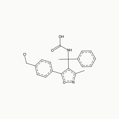 [CH2]C(NC(=O)O)(c1ccccc1)c1c(C)noc1-c1ccc(CCl)cc1